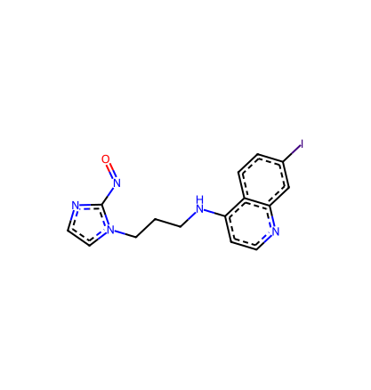 O=Nc1nccn1CCCNc1ccnc2cc(I)ccc12